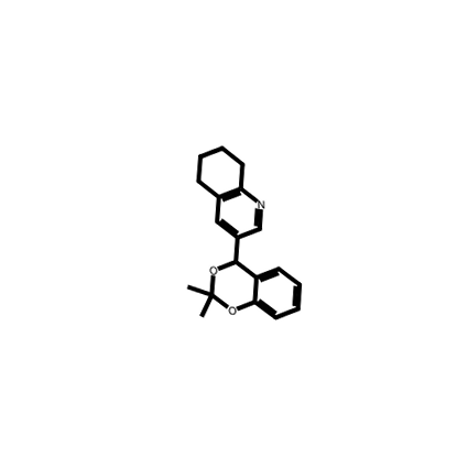 CC1(C)Oc2ccccc2C(c2cnc3c(c2)CCCC3)O1